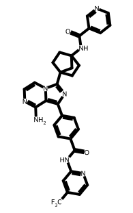 Nc1nccn2c(C34CCC(NC(=O)c5cccnc5)(CC3)C4)nc(-c3ccc(C(=O)Nc4cc(C(F)(F)F)ccn4)cc3)c12